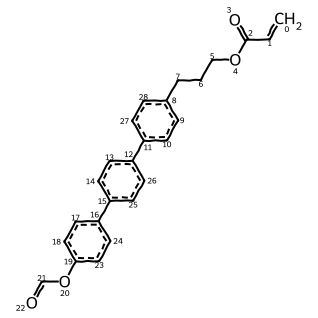 C=CC(=O)OCCCc1ccc(-c2ccc(-c3ccc(OC=O)cc3)cc2)cc1